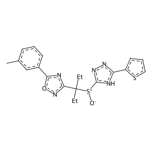 CCC(CC)(c1noc(-c2cccc(C)c2)n1)[S+]([O-])c1nnc(-c2cccs2)[nH]1